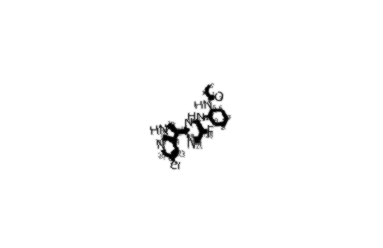 CCC(=O)N[C@@H]1CCCC[C@H]1Nc1nc(-c2c[nH]c3ncc(Cl)cc23)ncc1F